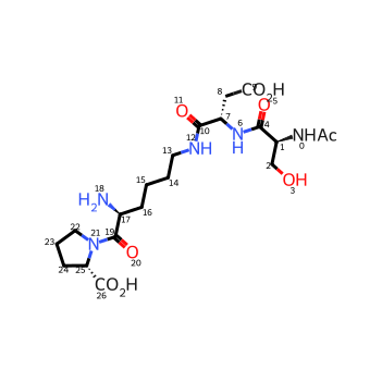 CC(=O)N[C@@H](CO)C(=O)N[C@@H](CC(=O)O)C(=O)NCCCC[C@H](N)C(=O)N1CCC[C@H]1C(=O)O